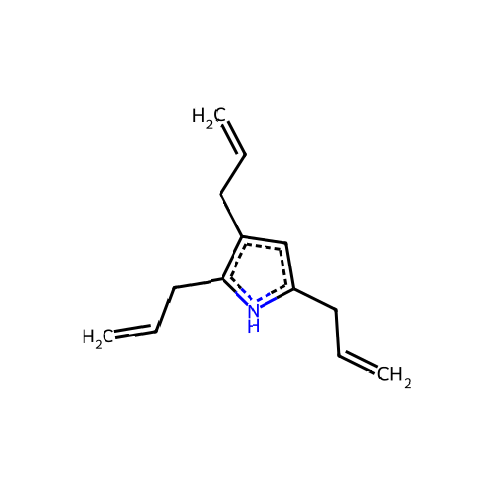 C=CCc1cc(CC=C)c(CC=C)[nH]1